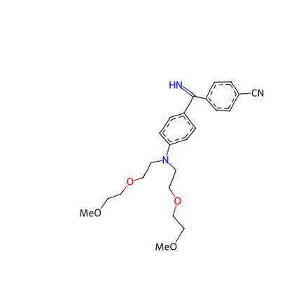 COCCOCCN(CCOCCOC)c1ccc(C(=N)c2ccc(C#N)cc2)cc1